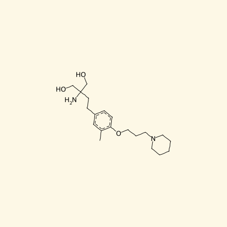 Cc1cc(CCC(N)(CO)CO)ccc1OCCCN1CCCCC1